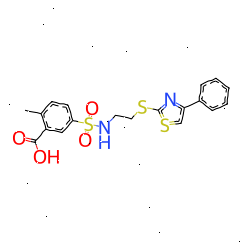 Cc1ccc(S(=O)(=O)NCCSc2nc(-c3ccccc3)cs2)cc1C(=O)O